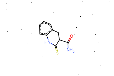 NC(=O)C1Cc2ccccc2NC1=S